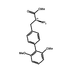 COC(=O)[C@@H](N)Cc1ccc(-c2c(OC)cccc2OC)cc1